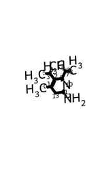 CC1=C(C(C)C)C(C(C)C)=NC(N)C1